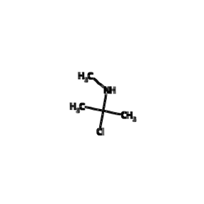 CNC(C)(C)Cl